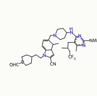 CNc1nc(C)c(CC(C)CC(F)(F)F)c(NC2CCN(CC3=CC=C4C(C=C(C#N)N4CCC4CCB(C=O)CC4)C3C)CC2)n1